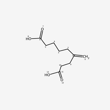 C=C(CCCCC(=O)O)CCC(=O)O